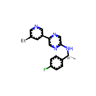 CCc1cncc(-c2cnc(N[C@H](C)c3ccc(F)cc3)cn2)c1